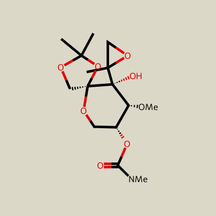 CNC(=O)O[C@@H]1CO[C@]2(COC(C)(C)O2)[C@@](O)(C2(C)CO2)[C@@H]1OC